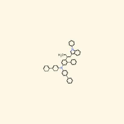 C=C/C(=C\c1cn(-c2ccccc2)c2ccccc12)c1ccc(N(C2=CC=C(C3=CC=CCC3)CC2)c2ccc(-c3ccccc3)cc2)cc1-c1ccccc1